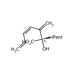 C=C/C=C\C(=C)[C@@](O)(CCCCC)C(=O)O